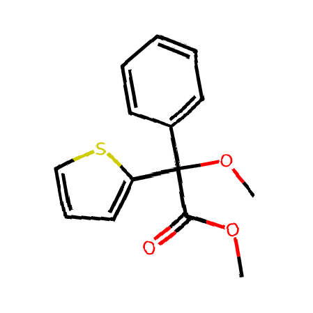 COC(=O)C(OC)(c1ccccc1)c1cccs1